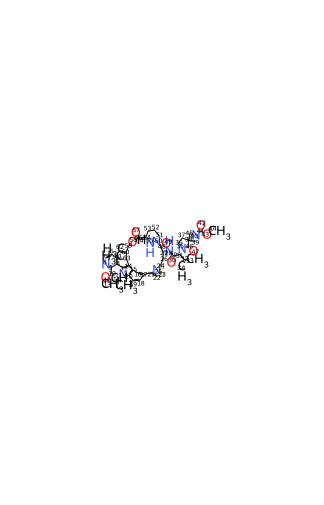 CCn1c(-c2cccnc2[C@H](C)OC)c2c3cc(ccc31)-c1csc(n1)C[C@H](NC(=O)C(C(C)C)N1CCC3(CN(C(=O)OC)C3)C1=O)C(=O)N1CCC[C@H](N1)C(=O)OCC(C)(C)C2